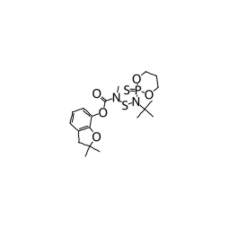 CN(SN(C(C)(C)C)P1(=S)OCCCO1)C(=O)Oc1cccc2c1OC(C)(C)C2